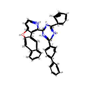 c1ccc(-c2ccc(-c3nc(-c4ccccc4)nc(-c4nccc5oc6cc7ccccc7cc6c45)n3)cc2)cc1